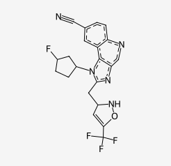 N#Cc1ccc2ncc3nc(CC4C=C(C(F)(F)F)ON4)n(C4CCC(F)C4)c3c2c1